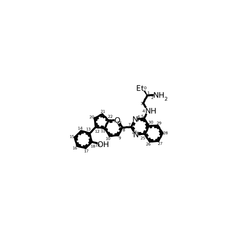 CC[C@@H](N)CNc1nc(-c2ccc3c(-c4ccccc4O)ccc-3o2)nc2ccccc12